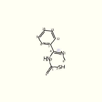 C=C(S)N/C(=N\C)c1ccccc1